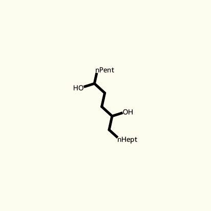 CCCCCCCCC(O)CCC(O)CCCCC